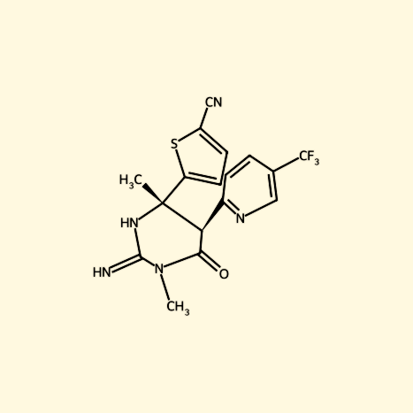 CN1C(=N)N[C@](C)(c2ccc(C#N)s2)[C@@H](c2ccc(C(F)(F)F)cn2)C1=O